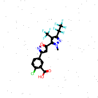 Cn1nc(C(F)(F)C(F)(F)F)c(C(F)(F)F)c1-c1cc(-c2ccc(Cl)c(C(=O)O)c2)no1